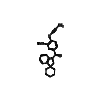 CC#COc1ccc(C(=O)NCC2(c3ccccc3)CCCCC2)cc1OC